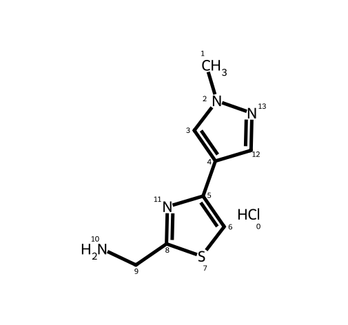 Cl.Cn1cc(-c2csc(CN)n2)cn1